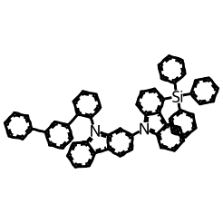 c1ccc(-c2cccc(-c3ccccc3-n3c4ccccc4c4ccc(-n5c6ccccc6c6c([Si](c7ccccc7)(c7ccccc7)c7ccccc7)cccc65)cc43)c2)cc1